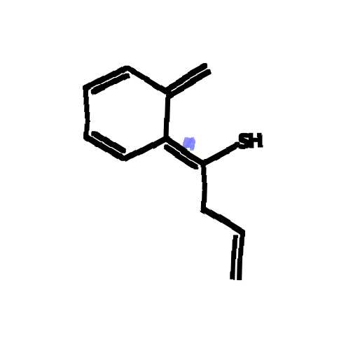 C=CC/C(S)=c1\ccccc1=C